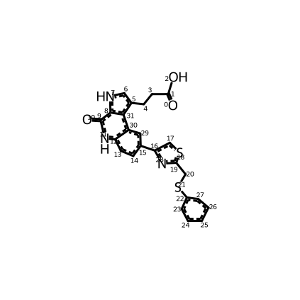 O=C(O)CCc1c[nH]c2c(=O)[nH]c3ccc(-c4csc(CSc5ccccc5)n4)cc3c12